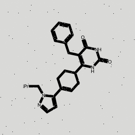 CC(C)Cn1nccc1C1=CCC(c2[nH]c(=O)[nH]c(=O)c2Cc2ccccc2)CC1